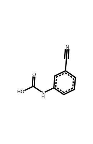 N#Cc1cccc(NC(=O)O)c1